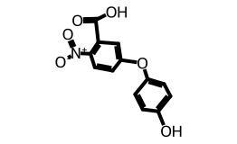 O=C(O)c1cc(Oc2ccc(O)cc2)ccc1[N+](=O)[O-]